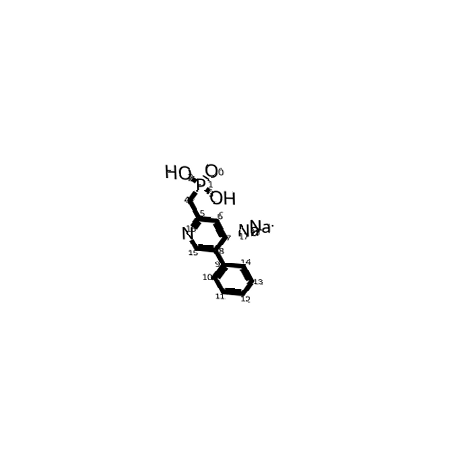 O=P(O)(O)Cc1ccc(-c2ccccc2)cn1.[Na].[Na]